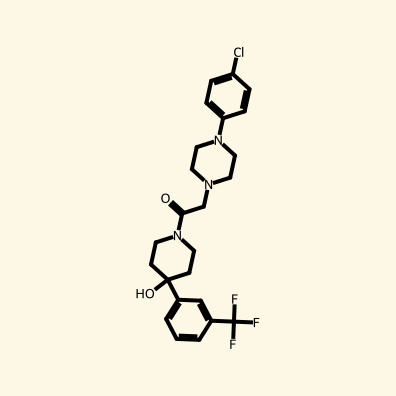 O=C(CN1CCN(c2ccc(Cl)cc2)CC1)N1CCC(O)(c2cccc(C(F)(F)F)c2)CC1